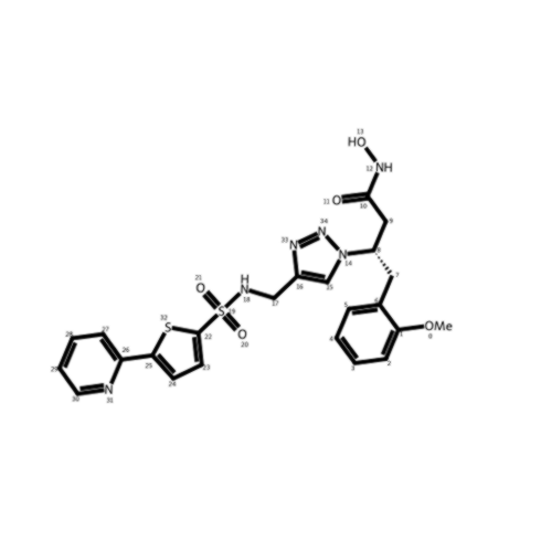 COc1ccccc1C[C@@H](CC(=O)NO)n1cc(CNS(=O)(=O)c2ccc(-c3ccccn3)s2)nn1